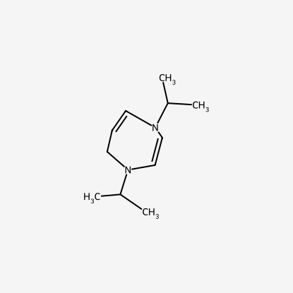 CC(C)N1C=CCN(C(C)C)C=C1